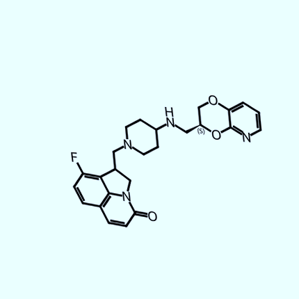 O=c1ccc2ccc(F)c3c2n1CC3CN1CCC(NC[C@H]2COc3cccnc3O2)CC1